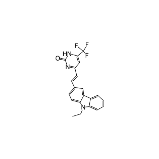 CCn1c2ccccc2c2cc(C=Cc3cc(C(F)(F)F)[nH]c(=O)n3)ccc21